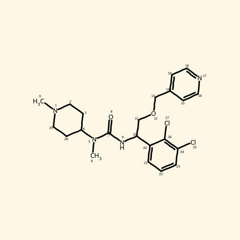 CN1CCC(N(C)C(=O)NC(COCc2ccncc2)c2cccc(Cl)c2Cl)CC1